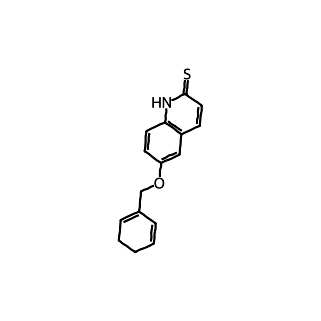 S=c1ccc2cc(OCC3=CCCC=C3)ccc2[nH]1